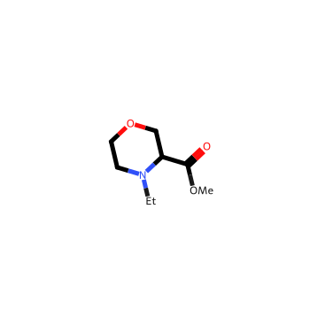 CCN1CCOCC1C(=O)OC